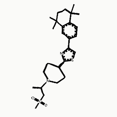 CC(CS(C)(=O)=O)N1CCC(c2nc(-c3ccc4c(c3)C(C)(C)CCC4(C)C)cs2)CC1